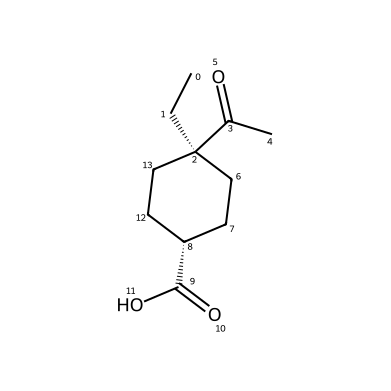 CC[C@]1(C(C)=O)CC[C@H](C(=O)O)CC1